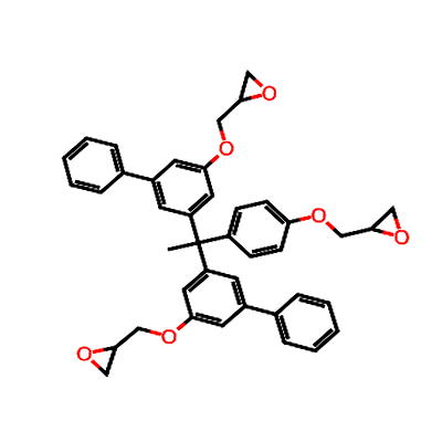 CC(c1ccc(OCC2CO2)cc1)(c1cc(OCC2CO2)cc(-c2ccccc2)c1)c1cc(OCC2CO2)cc(-c2ccccc2)c1